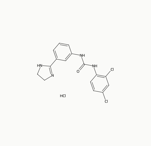 Cl.O=C(Nc1cccc(C2=NCCN2)c1)Nc1ccc(Cl)cc1Cl